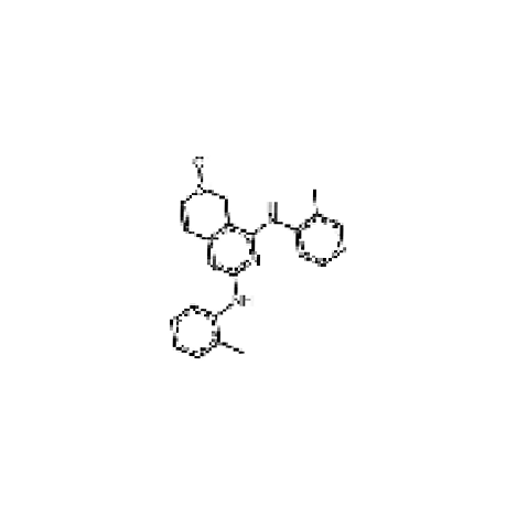 Cc1ccccc1Nc1nc2c(c(Nc3ccccc3C)n1)C[S+]([O-])C=C2